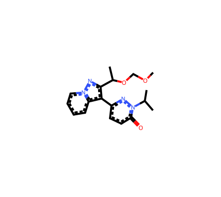 COCOC(C)c1nn2ccccc2c1-c1ccc(=O)n(C(C)C)n1